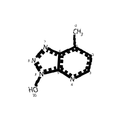 Cc1ccnc2c1nnn2O